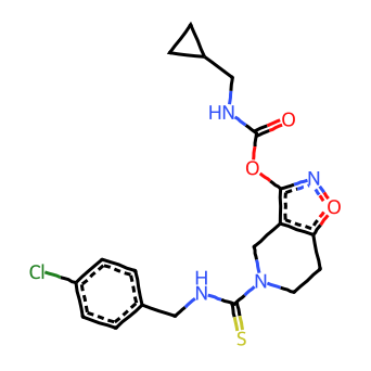 O=C(NCC1CC1)Oc1noc2c1CN(C(=S)NCc1ccc(Cl)cc1)CC2